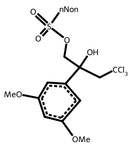 CCCCCCCCCS(=O)(=O)OCC(O)(CC(Cl)(Cl)Cl)c1cc(OC)cc(OC)c1